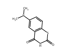 CN(C)c1ccc2sc(=O)[nH]c(=O)c2c1